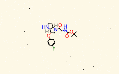 CC(C)(C)OC(=O)NCC(=O)N1C[C@H](Oc2ccc(F)cc2)[C@H]2NCC[C@H]21